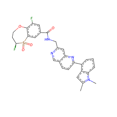 Cc1cc2c(-c3ccc4cnc(CNC(=O)c5cc(F)c6c(c5)S(=O)(=O)[C@@H](F)CCO6)cc4n3)cccc2n1C